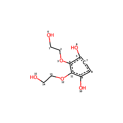 OCCOc1c(O)ccc(O)c1OCCO